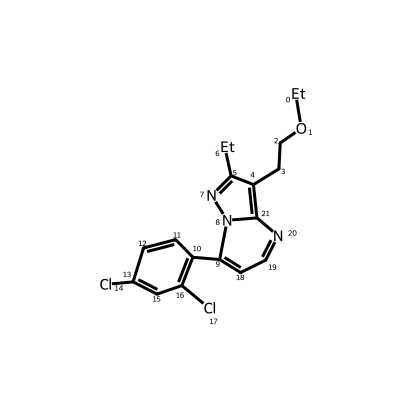 CCOCCc1c(CC)nn2c(-c3ccc(Cl)cc3Cl)ccnc12